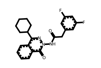 O=C(Cc1cc(F)cc(F)c1)Nn1nc(C2CCCCC2)c2ccccc2c1=O